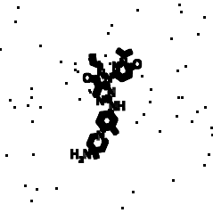 C=CCn1c(=O)c2cnc(Nc3ccc(N4CCC(C)(N)CC4)c(C)c3)nc2n1-c1ccc(=O)n(C(C)C)n1